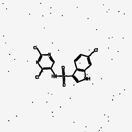 O=S(=O)(Nc1cnc(Cl)nc1Cl)c1c[nH]c2cc(Cl)ccc12